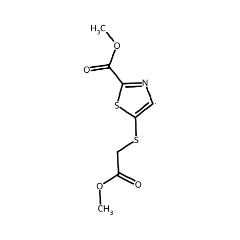 COC(=O)CSc1[c]nc(C(=O)OC)s1